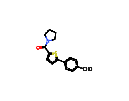 O=Cc1ccc(-c2ccc(C(=O)N3CCCC3)s2)cc1